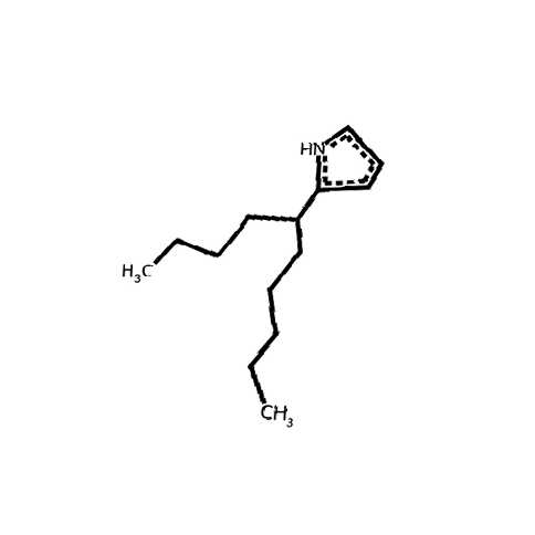 CCCCCC(CCCC)c1ccc[nH]1